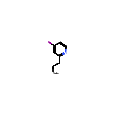 COCCc1cc(I)ccn1